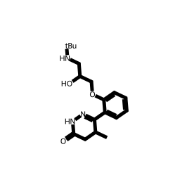 CC1CC(=O)NN=C1c1ccccc1OCC(O)CNC(C)(C)C